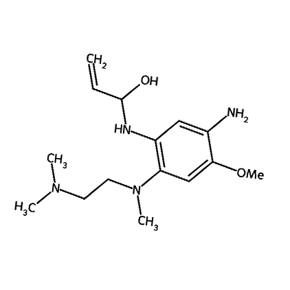 C=CC(O)Nc1cc(N)c(OC)cc1N(C)CCN(C)C